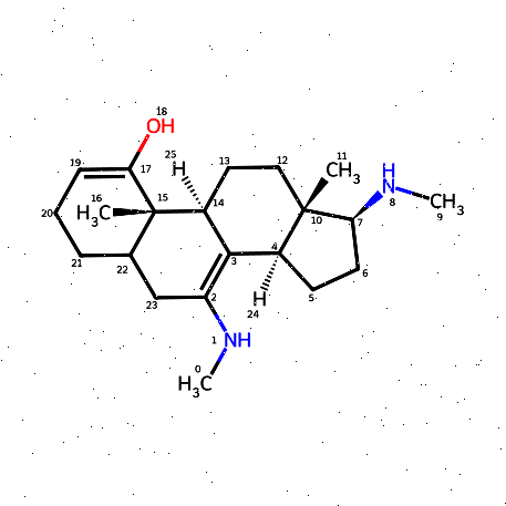 CNC1=C2[C@@H]3CC[C@H](NC)[C@@]3(C)CC[C@@H]2[C@@]2(C)C(O)=CCCC2C1